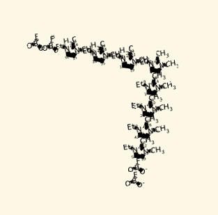 CC[n+]1ccn(C)c1C.CC[n+]1ccn(C)c1C.CC[n+]1ccn(C)c1C.CC[n+]1ccn(C)c1C.CC[n+]1ccn(C)c1C.CC[n+]1ccn(C)c1C.CC[n+]1ccn(C)c1C.CC[n+]1ccn(C)c1C.[O-]B([O-])F.[O-]B([O-])F.[O-]B([O-])F.[O-]B([O-])F